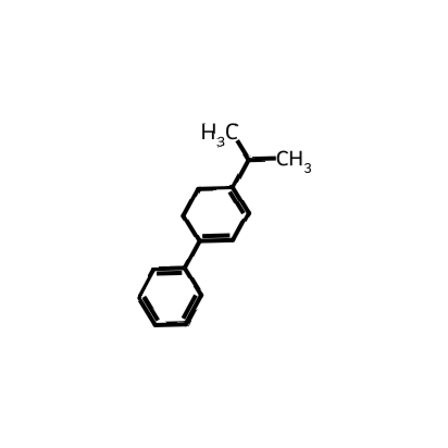 CC(C)C1=CC=C(c2ccccc2)CC1